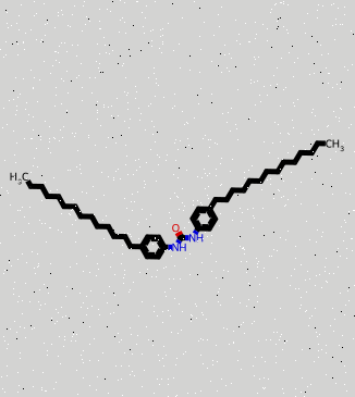 CCCCCCCCCCCCCCc1ccc(NC(=O)Nc2ccc(CCCCCCCCCCCCCC)cc2)cc1